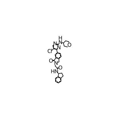 O=C(CN1Cc2ccc(-c3nc(NC4CCOCC4)ncc3Cl)cc2C1=O)N[C@H]1CCc2ccccc21